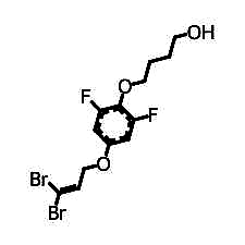 OCCCCOc1c(F)cc(OCC=C(Br)Br)cc1F